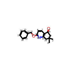 CC1(C)CC(=O)c2ccc(OCc3ccccc3)nc2C1